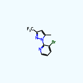 Cc1cc(C(F)(F)F)nn1-c1ncccc1Br